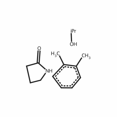 CC(C)O.Cc1ccccc1C.O=C1CCCN1